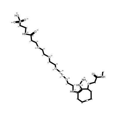 CNC(=O)COC1CCCCC/C(NCCOCCOCCOCCOCCC(=O)NCCS(=O)(=O)O)=C\1NN